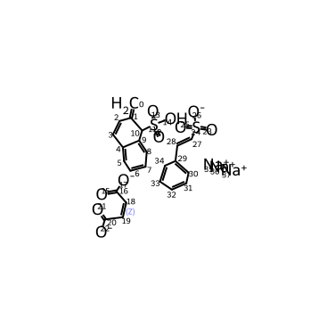 C=C1C=Cc2ccccc2C1S(=O)(=O)O.O=C([O-])/C=C\C(=O)[O-].O=S(=O)([O-])C=Cc1ccccc1.[Na+].[Na+].[Na+]